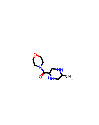 CC1CNC(C(=O)N2CCOCC2)CN1